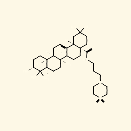 CC1(C)CC[C@]2(C(=O)NCCCN3CCS(=O)(=O)CC3)CC[C@]3(C)C(=CC[C@@H]4[C@@]5(C)CC[C@H](O)C(C)(C)[C@@H]5CC[C@]43C)[C@@H]2C1